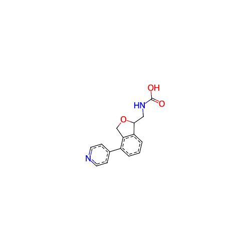 O=C(O)NCC1OCc2c(-c3ccncc3)cccc21